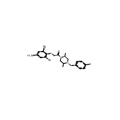 CC1CN(C(=O)COc2c(Br)cc(N)cc2Br)C(C)CN1Cc1ccc(F)cc1